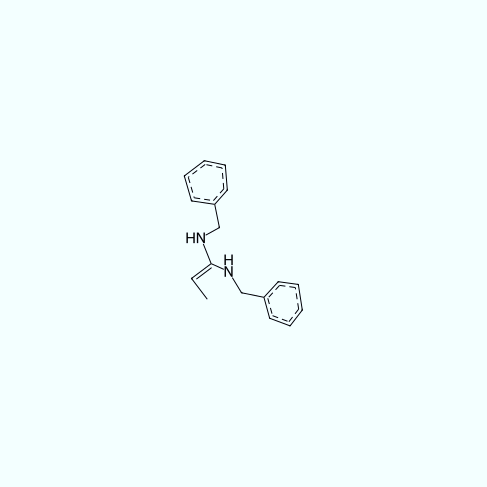 CC=C(NCc1ccccc1)NCc1ccccc1